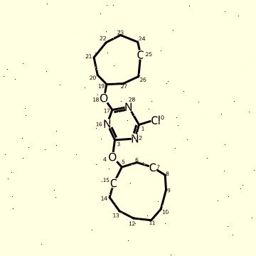 Clc1nc(OC2CCCCCCCCCC2)nc(OC2CCCCCCCC2)n1